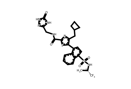 C[C@H](NS(=O)(=O)c1ccc(-c2sc(C(=O)NCc3n[nH]c(=O)[nH]3)nc2CC2CCC2)c2ccccc12)C(F)(F)F